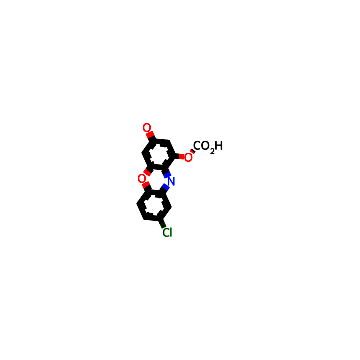 O=C(O)Oc1cc(=O)cc2oc3ccc(Cl)cc3nc1-2